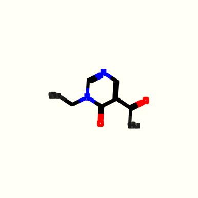 CC(C)(C)Cn1cncc(C(=O)C(C)(C)C)c1=O